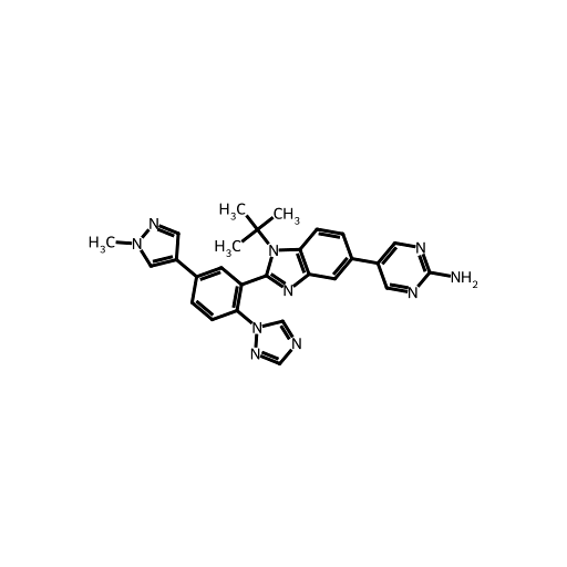 Cn1cc(-c2ccc(-n3cncn3)c(-c3nc4cc(-c5cnc(N)nc5)ccc4n3C(C)(C)C)c2)cn1